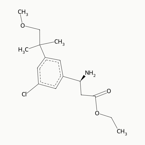 CCOC(=O)C[C@H](N)c1cc(Cl)cc(C(C)(C)COC)c1